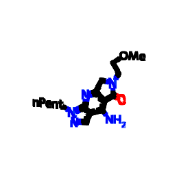 CCCCCn1ncc2c(N)c3c(nc21)CN(CCOC)C3=O